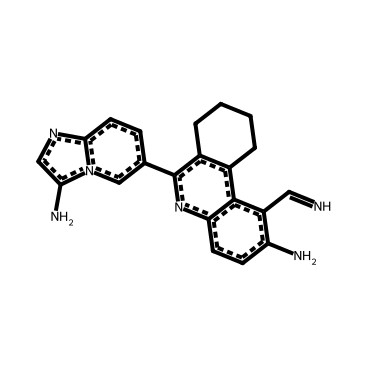 N=Cc1c(N)ccc2nc(-c3ccc4ncc(N)n4c3)c3c(c12)CCCC3